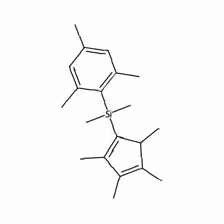 CC1=C(C)C(C)C([Si](C)(C)c2c(C)cc(C)cc2C)=C1C